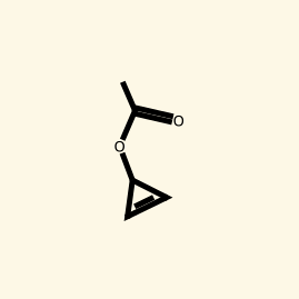 CC(=O)OC1C=C1